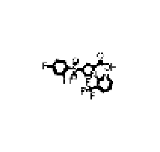 O=C(O)C1CC(S(=O)(=O)c2ccc(F)cc2Cl)CN1c1ncccc1C(F)(F)F